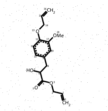 C=CCOC(=O)C(O)Cc1ccc(OCC=C)c(OC)c1